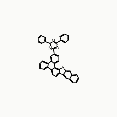 c1ccc(-c2nc(-c3ccccc3)nc(-c3ccc4c(c3)c3ccccc3c3ccc5c6cc7ccccc7cc6sc5c34)n2)cc1